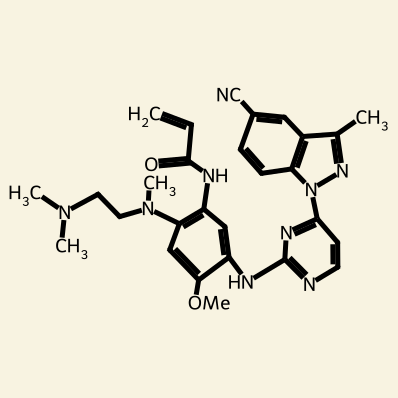 C=CC(=O)Nc1cc(Nc2nccc(-n3nc(C)c4cc(C#N)ccc43)n2)c(OC)cc1N(C)CCN(C)C